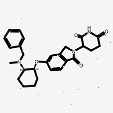 CN(Cc1ccccc1)[C@@H]1CCCC[C@@H]1Oc1ccc2c(c1)CN(C1CCC(=O)NC1=O)C2=O